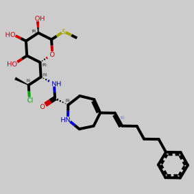 CSC1O[C@H]([C@H](NC(=O)[C@@H]2CC=C(/C=C/CCCc3ccccc3)CCN2)[C@H](C)Cl)C(O)C(O)[C@H]1O